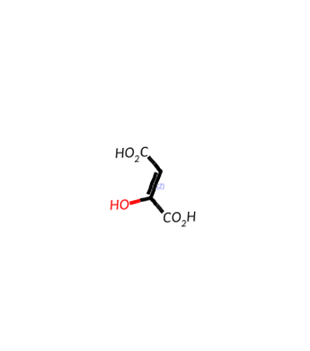 O=C(O)/C=C(\O)C(=O)O